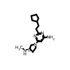 CN[C@@H]1CCN(c2cc(N)nc(CCC3CCCC3)n2)C1